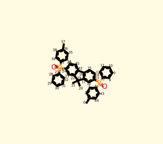 Cc1ccc(P(=O)(c2ccccc2)c2ccc3c(c2)C(C)(C)c2cc(P(=O)(c4ccccc4)c4ccc(C)cc4)ccc2-3)cc1